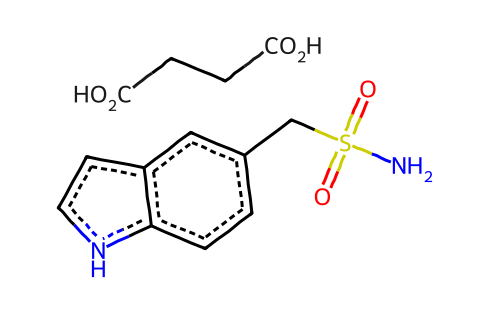 NS(=O)(=O)Cc1ccc2[nH]ccc2c1.O=C(O)CCC(=O)O